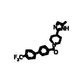 Cc1cnc(C2CCN(C(=O)c3ccc(-c4ccc(C(F)(F)F)cc4)cc3)CC2)[nH]1